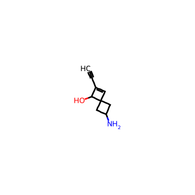 C#CC1=CC2(CC(N)C2)C1O